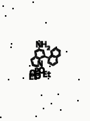 CCOP(=O)(OCC)c1ccc2cc(N)cc(-c3cccc4ccccc34)c2n1